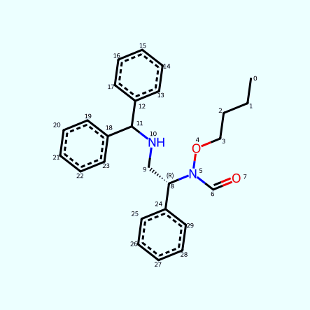 CCCCON(C=O)[C@@H](CNC(c1ccccc1)c1ccccc1)c1ccccc1